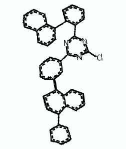 Clc1nc(-c2cccc(-c3ccc(-c4ccccc4)c4ccccc34)c2)nc(-c2ccccc2-c2cccc3ccccc23)n1